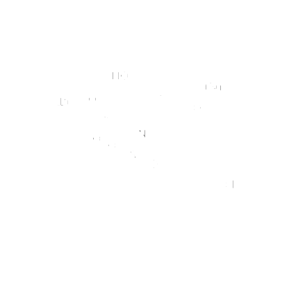 CC(C)(C)OC(=O)CN([C@@H](CO)C(=O)OC(C)(C)C)S(=O)(=O)c1ccccc1-c1ccc(Cl)cc1